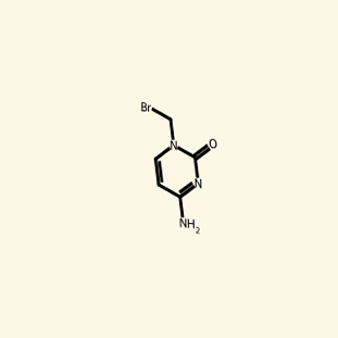 Nc1ccn(CBr)c(=O)n1